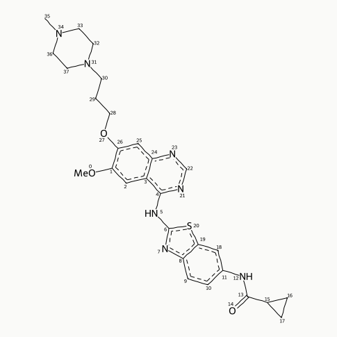 COc1cc2c(Nc3nc4ccc(NC(=O)C5CC5)cc4s3)ncnc2cc1OCCCN1CCN(C)CC1